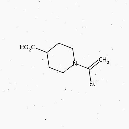 C=C(CC)N1CCC(C(=O)O)CC1